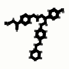 COC(=O)c1ccc(CNCC(OCc2ccc(CCC3=CCCC=C3)cc2)c2ccc(Cl)cc2)cc1